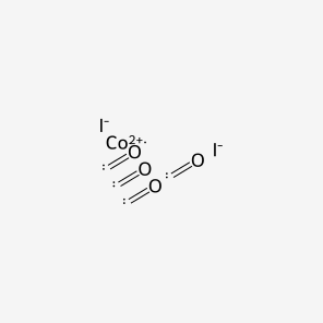 [C]=O.[C]=O.[C]=O.[C]=O.[Co+2].[I-].[I-]